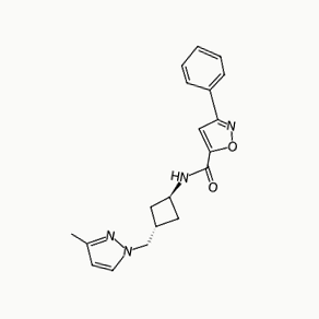 Cc1ccn(C[C@H]2C[C@H](NC(=O)c3cc(-c4ccccc4)no3)C2)n1